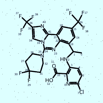 CC(Nc1ccc(Cl)nc1C(=O)O)c1cc(C(F)(F)F)cc2c1nc(N1CCC(F)(F)CC1)n1cc(C(F)(F)F)nc21